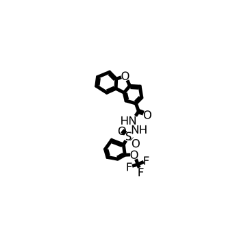 O=C(NNS(=O)(=O)c1ccccc1OC(F)(F)F)c1ccc2oc3ccccc3c2c1